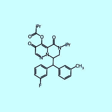 Cc1cccc(C(c2cccc(F)c2)C2CN(C(C)C)C(=O)c3c(OC(=O)C(C)C)c(=O)cnn32)c1